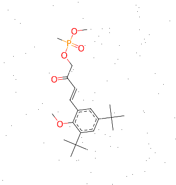 COc1c(C=CC(=O)COP(C)(=O)OC)cc(C(C)(C)C)cc1C(C)(C)C